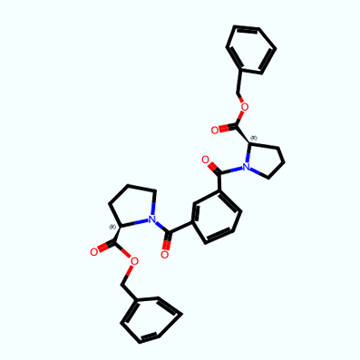 O=C(OCc1ccccc1)[C@H]1CCCN1C(=O)c1cccc(C(=O)N2CCC[C@@H]2C(=O)OCc2ccccc2)c1